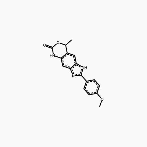 COc1ccc(-c2nc3cc4c(cc3[nH]2)C(C)OC(=O)N4)cc1